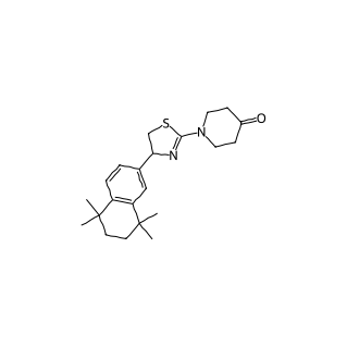 CC1(C)CCC(C)(C)c2cc(C3CSC(N4CCC(=O)CC4)=N3)ccc21